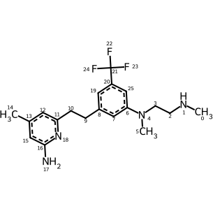 CNCCN(C)c1cc(CCc2cc(C)cc(N)n2)cc(C(F)(F)F)c1